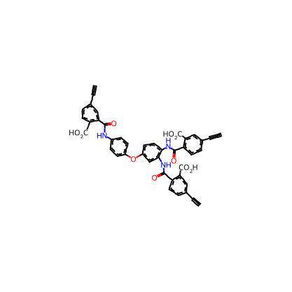 C#Cc1ccc(C(=O)Nc2ccc(Oc3ccc(NC(=O)c4cc(C#C)ccc4C(=O)O)cc3)cc2NC(=O)c2ccc(C#C)cc2C(=O)O)c(C(=O)O)c1